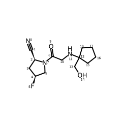 N#C[C@@H]1C[C@H](F)CN1C(=O)CNC1(CO)CCCC1